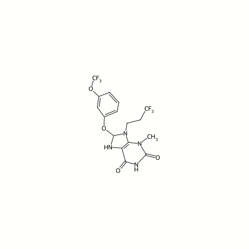 Cn1c2c(c(=O)[nH]c1=O)NC(Oc1cccc(OC(F)(F)F)c1)N2CCC(F)(F)F